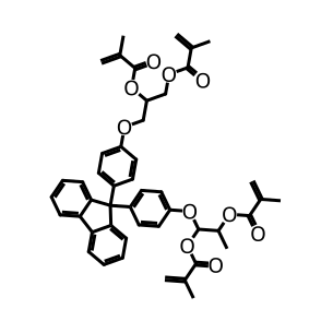 C=C(C)C(=O)OCC(COc1ccc(C2(c3ccc(OC(OC(=O)C(=C)C)C(C)OC(=O)C(=C)C)cc3)c3ccccc3-c3ccccc32)cc1)OC(=O)C(=C)C